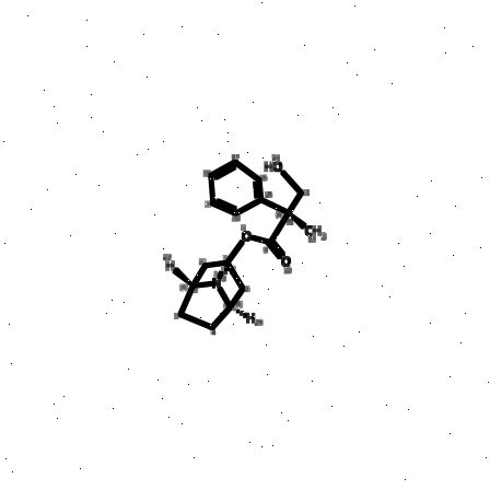 CC(C)N1[C@@H]2CC[C@@H]1CC(OC(=O)[C@@](C)(CO)c1ccccc1)C2